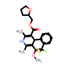 COC(=O)C1=C(C)NC(C)=C(C(=O)OCC2CCCO2)C1c1ccccc1C(F)(F)F